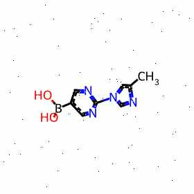 Cc1cn(-c2ncc(B(O)O)cn2)cn1